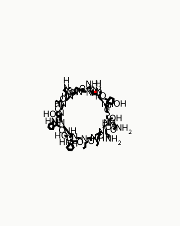 CCCC[C@H]1C(=O)N(C)[C@@H](CCCC)C(=O)N[C@@H](CCCN)C(=O)N[C@H](C(O)NCC(N)=O)CSCC(=O)N[C@@H](Cc2ccc(O)cc2)C(=O)N2CCNC[C@H]2C(=O)N[C@@H](CC(N)=O)C(=O)N2CCC[C@H]2C(=O)N[C@@H](Cc2c[nH]cn2)C(=O)N[C@@H](CC(C)C)C(=O)N2C[C@H](O)C[C@H]2C(=O)N[C@@H](Cc2c[nH]c3ccccc23)C(=O)N[C@@H](CO)C(=O)N[C@@H](Cc2c[nH]c3ccccc23)C(=O)N1C